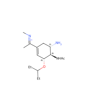 CCC(CC)O[C@@H]1C=C(/C(C)=N/C)C[C@H](N)[C@H]1NC(C)=O